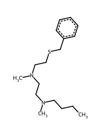 CCCCN(C)CCN(C)CCSCc1ccccc1